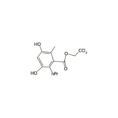 CCCc1c(O)cc(O)c(C)c1C(=O)OCC(Cl)(Cl)Cl